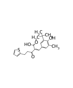 Cc1cc(/C=C(\C(=O)O)C(=O)CCc2cccs2)cc(C(C)(C)C)c1O